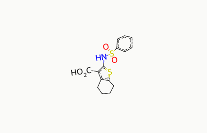 O=C(O)c1c(NS(=O)(=O)c2ccccc2)sc2c1CCCC2